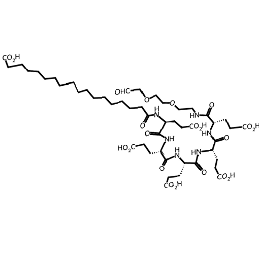 O=CCOCCOCCNC(=O)[C@H](CCC(=O)O)NC(=O)[C@H](CCC(=O)O)NC(=O)[C@H](CCC(=O)O)NC(=O)[C@H](CCC(=O)O)NC(=O)[C@H](CCC(=O)O)NC(=O)CCCCCCCCCCCCCCCCC(=O)O